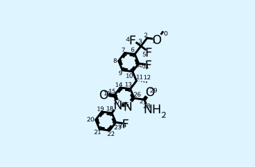 COCC(F)(F)c1cccc([C@H](C)c2cc(=O)n(-c3ccccc3F)nc2C(N)=O)c1F